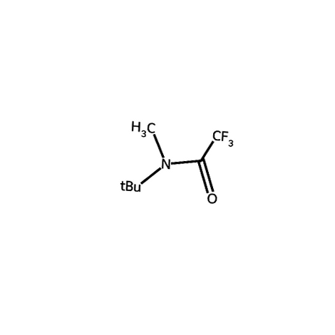 CN(C(=O)C(F)(F)F)C(C)(C)C